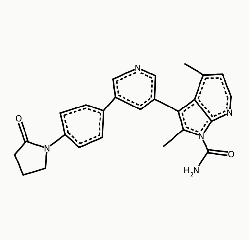 Cc1ccnc2c1c(-c1cncc(-c3ccc(N4CCCC4=O)cc3)c1)c(C)n2C(N)=O